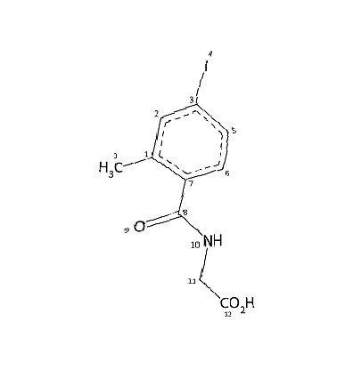 Cc1cc(I)ccc1C(=O)NCC(=O)O